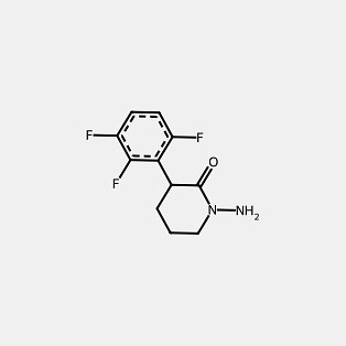 NN1CCCC(c2c(F)ccc(F)c2F)C1=O